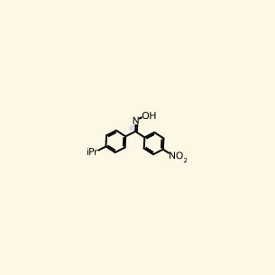 CC(C)c1ccc(/C(=N/O)c2ccc([N+](=O)[O-])cc2)cc1